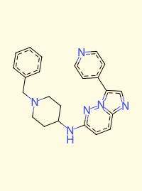 c1ccc(CN2CCC(Nc3ccc4ncc(-c5ccncc5)n4n3)CC2)cc1